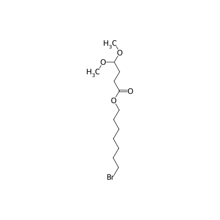 COC(CCC(=O)OCCCCCCCBr)OC